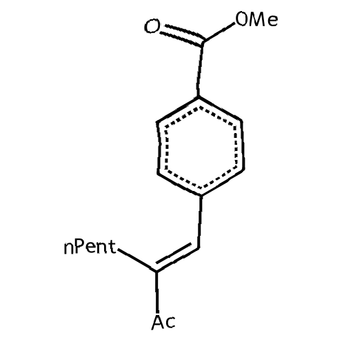 CCCCC/C(=C\c1ccc(C(=O)OC)cc1)C(C)=O